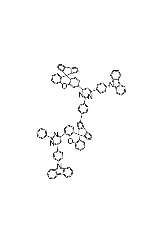 c1ccc(-c2nc(-c3ccc(-n4c5ccccc5c5ccccc54)cc3)cc(-c3cccc4c3Oc3ccccc3C43c4ccccc4-c4cc(-c5ccc(-c6nc(-c7ccc(-n8c9ccccc9c9ccccc98)cc7)cc(-c7ccc8c(c7)Oc7ccccc7C87c8ccccc8-c8ccccc87)n6)cc5)ccc43)n2)cc1